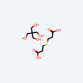 O=C(O)CCSCCC(=O)O.OCC(CO)(CO)CO